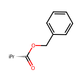 [CH2][C@@H](C)C(=O)OCc1ccccc1